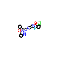 CN(C)c1ccccc1C(=O)N[C@@H](CCN1CC2=CN(C(=O)c3c(F)cccc3Cl)CC2C1)c1ccccc1